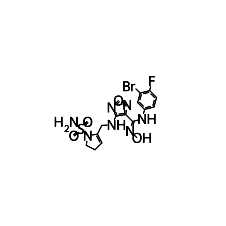 NS(=O)(=O)N1CCC=C1CNc1nonc1/C(=N/O)Nc1ccc(F)c(Br)c1